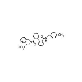 Cc1ccc(CNC(=O)c2ccccc2-c2ccccc2C(=O)N(CCC(=O)O)Cc2cccnc2)cc1